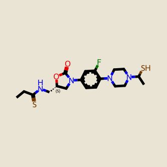 CCC(=S)NC[C@H]1CN(c2ccc(N3CCN(C(C)S)CC3)c(F)c2)C(=O)O1